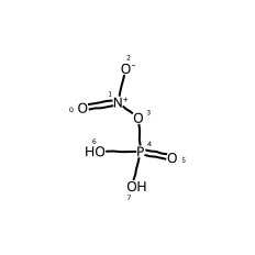 O=[N+]([O-])OP(=O)(O)O